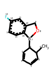 CC1C=CC=CC1B1OCc2cc(F)ccc21